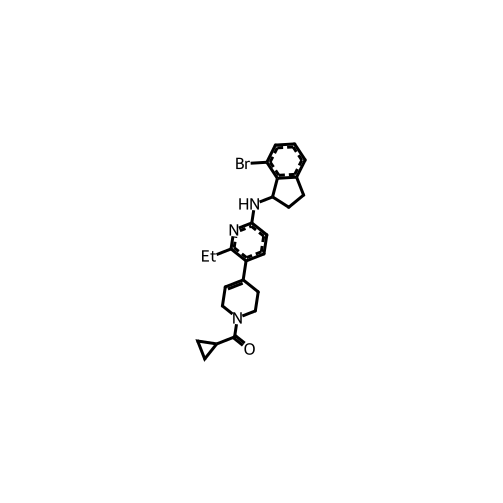 CCc1nc(NC2CCc3cccc(Br)c32)ccc1C1=CCN(C(=O)C2CC2)CC1